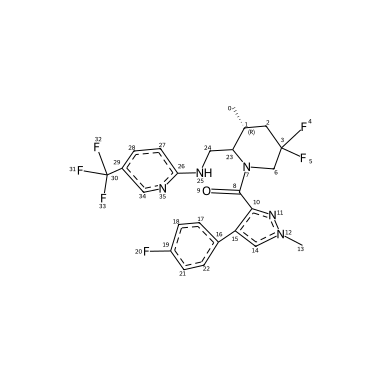 C[C@@H]1CC(F)(F)CN(C(=O)c2nn(C)cc2-c2ccc(F)cc2)C1CNc1ccc(C(F)(F)F)cn1